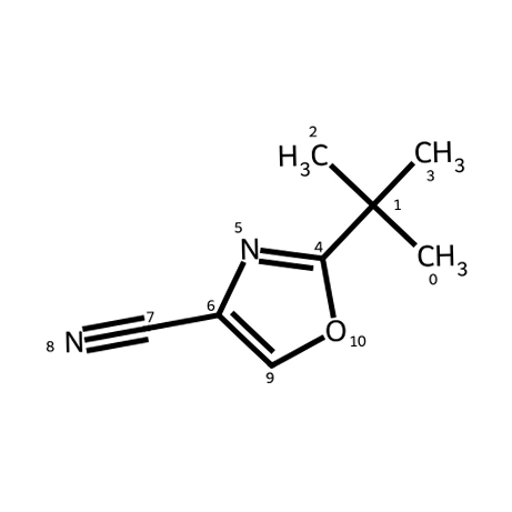 CC(C)(C)c1nc(C#N)co1